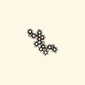 c1ccc(-c2ccccc2N(c2ccc3c(c2)oc2c4ccc(N(c5ccc6oc7ccccc7c6c5)c5ccccc5-c5ccccc5)cc4c4ccccc4c32)c2ccc3oc4ccccc4c3c2)cc1